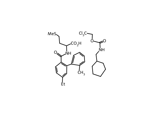 CCc1ccc(C(=O)NC(CCSC)C(=O)O)c(-c2ccccc2C)c1.O=C(NCC1CCCCC1)OCC(Cl)(Cl)Cl